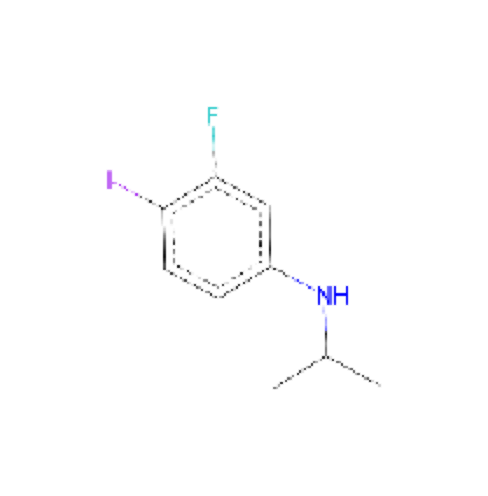 CC(C)Nc1ccc(I)c(F)c1